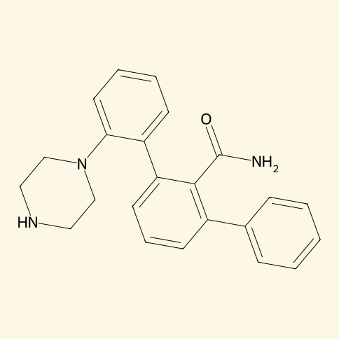 NC(=O)c1c(-c2ccccc2)cccc1-c1ccccc1N1CCNCC1